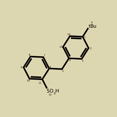 CC(C)(C)c1ccc(Cc2ccccc2S(=O)(=O)O)cc1